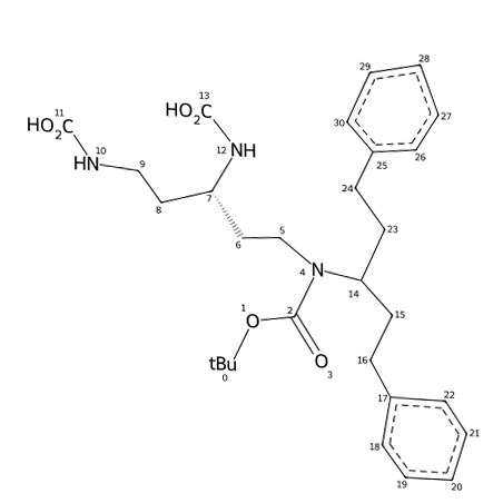 CC(C)(C)OC(=O)N(CC[C@H](CCNC(=O)O)NC(=O)O)C(CCc1ccccc1)CCc1ccccc1